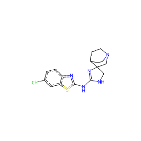 Clc1ccc2nc(NC3=NC4(CN3)CN3CCC4CC3)sc2c1